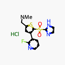 CNCc1cc(-c2cccnc2F)c(S(=O)(=O)c2ncc[nH]2)s1.Cl